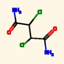 NC(=O)C(Cl)C(Cl)C(N)=O